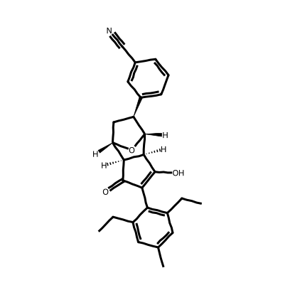 CCc1cc(C)cc(CC)c1C1=C(O)[C@@H]2[C@@H]3O[C@@H](C[C@H]3c3cccc(C#N)c3)[C@@H]2C1=O